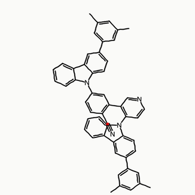 Cc1cc(C)cc(-c2ccc3c(c2)c2ccccc2n3-c2ccc(C#N)c(-c3cnccc3-n3c4ccccc4c4cc(-c5cc(C)cc(C)c5)ccc43)c2)c1